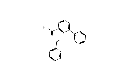 CCC(=O)c1cccc(-c2ccccc2)c1OCc1ccccc1